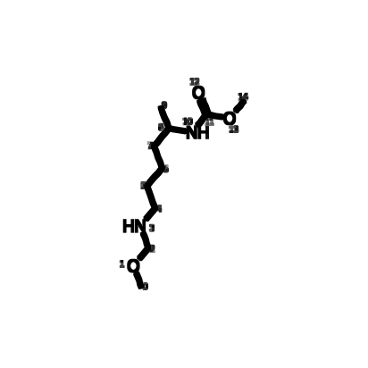 COCNCCCCC(C)NC(=O)OC